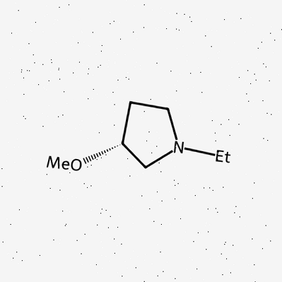 CCN1CC[C@@H](OC)C1